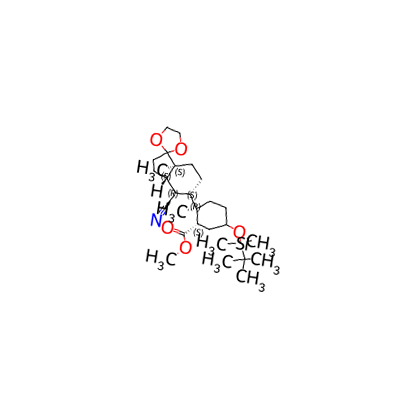 COC(=O)[C@H]1CC(O[Si](C)(C)C(C)(C)C)CC[C@]1(C)[C@H]1CC[C@@]2(C)[C@@H](CCC23OCCO3)[C@@H]1C#N